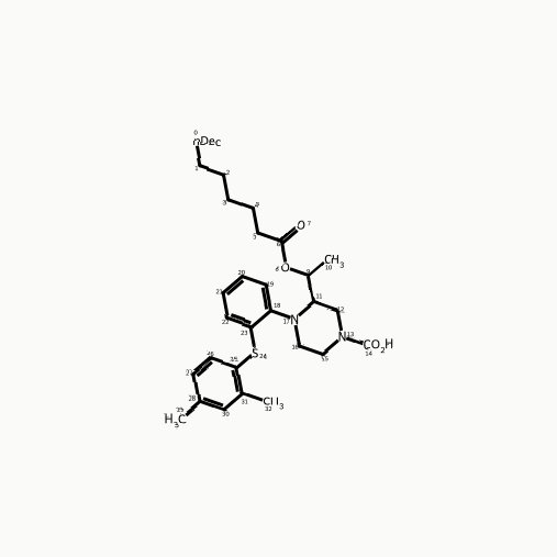 CCCCCCCCCCCCCCCC(=O)OC(C)C1CN(C(=O)O)CCN1c1ccccc1Sc1ccc(C)cc1C